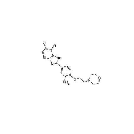 Nc1cc(-c2nc3ncc(Cl)c(Cl)c3[nH]2)ccc1OCCN1CCOCC1